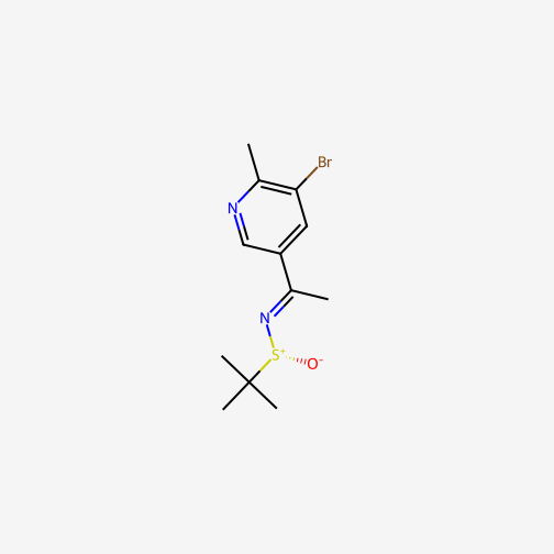 C/C(=N\[S@+]([O-])C(C)(C)C)c1cnc(C)c(Br)c1